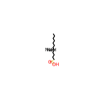 CCCCCCCCCCCCS(=O)O.[NaH].[NaH]